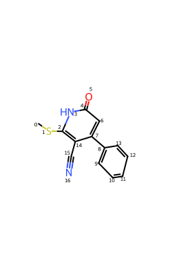 CSc1[nH]c(=O)cc(-c2ccccc2)c1C#N